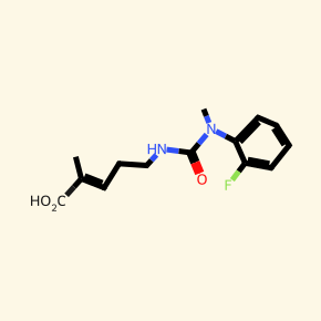 CC(=CCCNC(=O)N(C)c1ccccc1F)C(=O)O